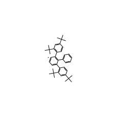 CC(C)(C)c1ccc(-c2[c]ccc(-c3ccc(C(C)(C)C)cc3C(C)(C)C)c2-c2ccccc2)c(C(C)(C)C)c1